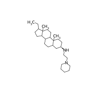 CCC1CCC2C3CCC4C[C@H](NCCN5CCCCC5)CCC4(C)C3CCC12C